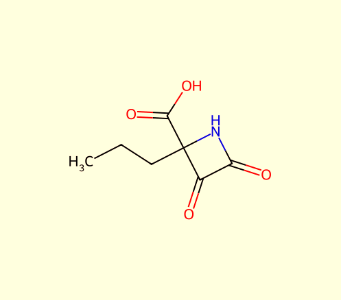 CCCC1(C(=O)O)NC(=O)C1=O